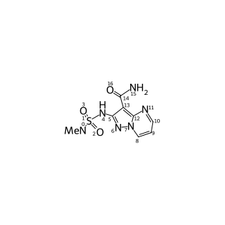 CNS(=O)(=O)Nc1nn2cccnc2c1C(N)=O